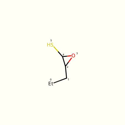 CCCC1OC1S